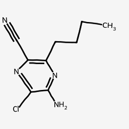 CCCCc1nc(N)c(Cl)nc1C#N